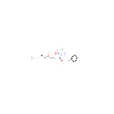 C=CCCCCC[C@H](NB(C)O)C(=O)OCc1ccccc1